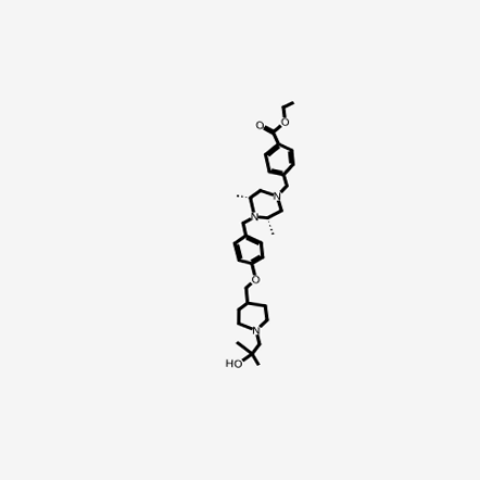 CCOC(=O)c1ccc(CN2C[C@@H](C)N(Cc3ccc(OCC4CCN(CC(C)(C)O)CC4)cc3)[C@@H](C)C2)cc1